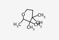 CC1OCCC(C)(O)C1(C)C